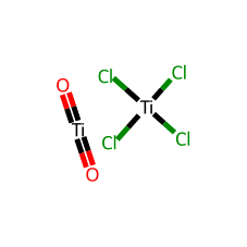 [Cl][Ti]([Cl])([Cl])[Cl].[O]=[Ti]=[O]